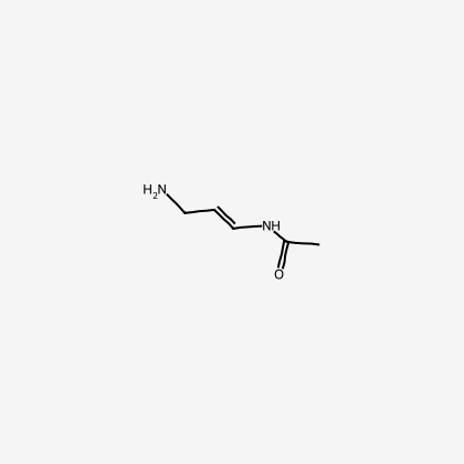 CC(=O)NC=CCN